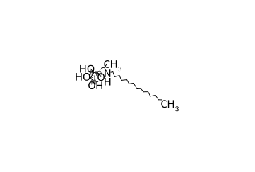 CCCCCCCCCCCCCCCCNC(C)C[C@@H]1OC[C@@H](O)[C@H](O)[C@H]1O